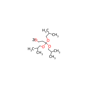 CC(C)COC(CC[O])(OCC(C)C)OCC(C)C.[Zr]